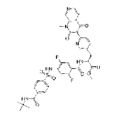 COC(=O)[C@H](Cc1ccc(-n2c(=O)c3ccncc3n(C)c2=O)nc1)NC(=O)c1cc(F)c(NS(=O)(=O)c2ccc(C(=O)NC(C)(C)C)cc2)cc1F